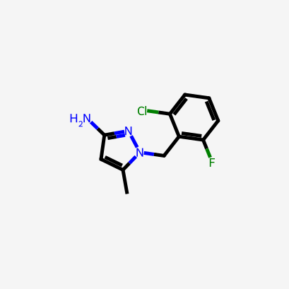 Cc1cc(N)nn1Cc1c(F)cccc1Cl